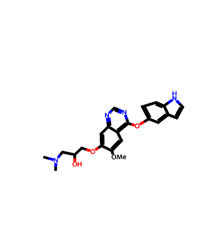 COc1cc2c(Oc3ccc4[nH]ccc4c3)ncnc2cc1OCC(O)CN(C)C